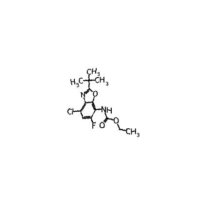 CCOC(=O)Nc1c(F)cc(Cl)c2nc(C(C)(C)C)oc12